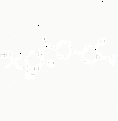 CC(C)C1(CC(C)(C)O)CCN([C@@H](C)c2ccc(-c3ccn(C4CC4)c(=O)c3)cc2)C(=O)O1